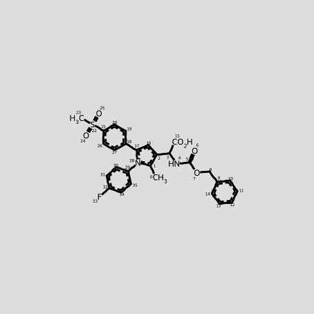 Cc1c(C(NC(=O)OCc2ccccc2)C(=O)O)cc(-c2ccc(S(C)(=O)=O)cc2)n1-c1ccc(F)cc1